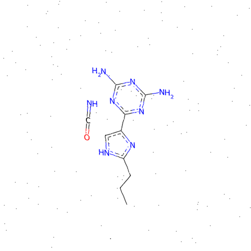 CCCc1nc(-c2nc(N)nc(N)n2)c[nH]1.N=C=O